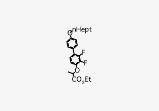 CCCCCCCOc1ccc(-c2ccc(OC(C)C(=O)OCC)c(F)c2F)cc1